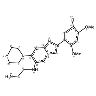 COc1cc(OC)c(-c2cn3cc(NCCN)c(N4CCOCC4)cc3n2)cc1Cl